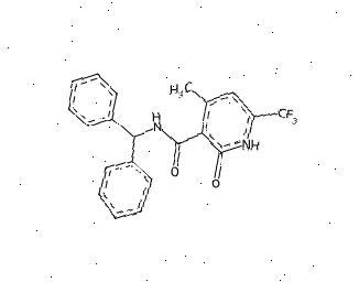 Cc1cc(C(F)(F)F)[nH]c(=O)c1C(=O)NC(c1ccccc1)c1ccccc1